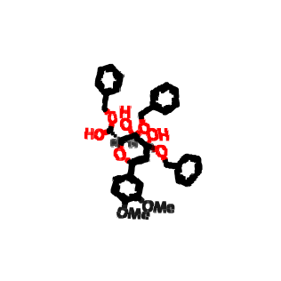 COc1ccc(C2=C[C@](O)(OCc3ccccc3)[C@@](O)(OCc3ccccc3)[C@@H](C(O)OCc3ccccc3)O2)cc1OC